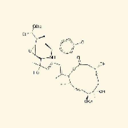 CC[C@H](OC)[C@@H](C)[C@H]1O[C@@H]1C(N[C@@H](C)c1ccc(Cl)cc1)C(C)(O)/C=C/C=C(\C)C1OC(=O)C[C@H](O)CC[C@@](C)(O)[C@@H](OC(C)=O)/C=C/[C@@H]1C